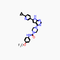 O=C(Nc1ccc(OC(F)(F)F)cc1)N1CCN(c2ncnc3[nH]c(-c4ccc(C5CC5)nc4)cc23)CC1